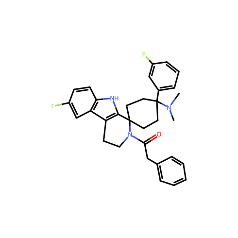 CN(C)C1(c2cccc(F)c2)CCC2(CC1)c1[nH]c3ccc(F)cc3c1CCN2C(=O)Cc1ccccc1